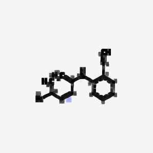 C#Cc1ccccc1NC(=C)/C=C\C(=C)CC